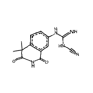 CC1(C)C(=O)NC(=O)c2cc(NC(=N)NC#N)ccc21